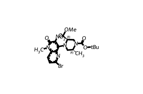 COC(=O)[C@H]1CN(C(=O)OC(C)(C)C)[C@H](C)CN1c1c([N+](=O)[O-])c(=O)n(C)c2ccc(Br)nc12